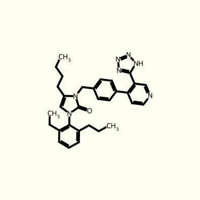 CCCCc1cn(-c2c(CC)cccc2CCC)c(=O)n1Cc1ccc(-c2ccncc2-c2nnn[nH]2)cc1